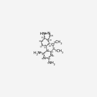 COC(C)c1nc(N)nc(N)c1-c1ccc2[nH]ncc2c1